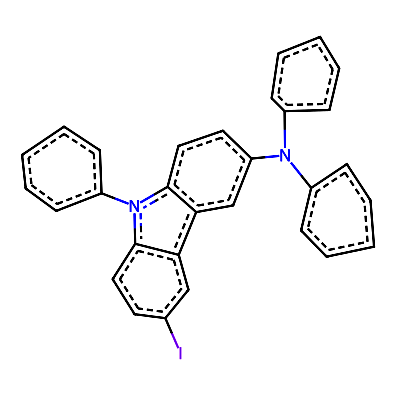 Ic1ccc2c(c1)c1cc(N(c3ccccc3)c3ccccc3)ccc1n2-c1ccccc1